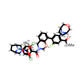 COC(=O)c1cc(F)c(-c2cccc3c2OCN(C(=O)c2c(Cl)cc(N4C5CCC4CN(C(=O)OC(C)(C)C)C5)cc2Cl)C3)cc1N1C2CCC1COC2